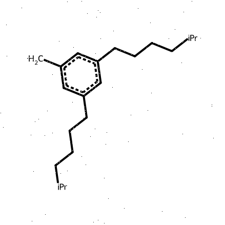 [CH2]c1cc(CCCCC(C)C)cc(CCCCC(C)C)c1